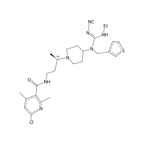 [C-]#[N+]N=C(NCC)N(Cc1ccsc1)C1CCN([C@H](C)CCNC(=O)c2c(C)cc(Cl)nc2C)CC1